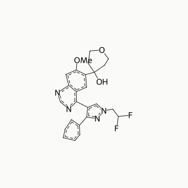 COc1cc2ncnc(-c3cn(CC(F)F)nc3-c3ccccc3)c2cc1C1(O)CCOCC1